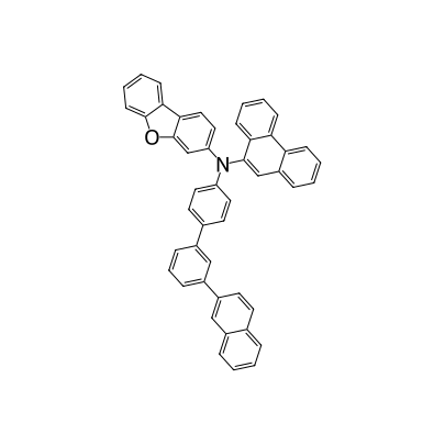 c1cc(-c2ccc(N(c3ccc4c(c3)oc3ccccc34)c3cc4ccccc4c4ccccc34)cc2)cc(-c2ccc3ccccc3c2)c1